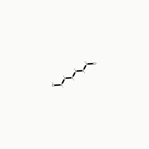 ClSSSSSSCl